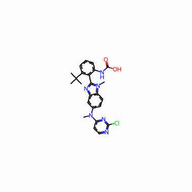 CN(c1ccc2c(c1)nc(-c1c(NC(=O)O)cccc1C(C)(C)C)n2C)c1ccnc(Cl)n1